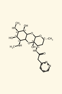 CN[C@@H]1[C@H](O)[C@H](NC)C2O[C@]3(O)C(OC2[C@@H]1O)O[C@H](C)C[C@H]3NC(=O)Cc1cccnn1